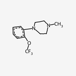 CN1CCN(c2ccccc2OC(F)(F)F)CC1